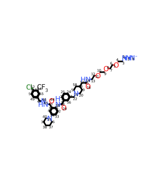 [N-]=[N+]=NCCOCCOCCOCCNC(=O)CC1CCN(Cc2cccc(C(=O)Nc3ccc(N4CCCCC4)cc3C(=O)NN=Cc3ccc(Cl)c(C(F)(F)F)c3)c2)CC1